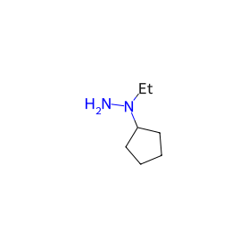 CCN(N)C1CCCC1